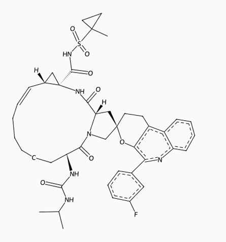 CC(C)NC(=O)N[C@H]1CCCCC/C=C\[C@@H]2C[C@@]2(C(=O)NS(=O)(=O)C2(C)CC2)NC(=O)[C@@H]2C[C@]3(CCc4c(c(-c5cccc(F)c5)nc5ccccc45)O3)CN2C1=O